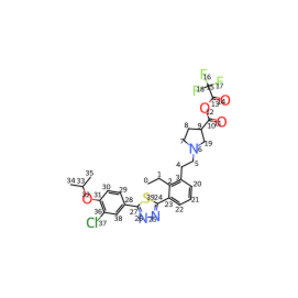 CCc1c(CCN2CCC(C(=O)OC(=O)C(F)(F)F)C2)cccc1-c1nnc(-c2ccc(OC(C)C)c(Cl)c2)s1